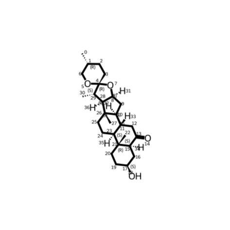 C[C@@H]1CC[C@@]2(OC1)O[C@H]1C[C@H]3[C@@H]4CC(=O)[C@H]5C[C@@H](O)CC[C@]5(C)[C@H]4CC[C@]3(C)[C@H]1[C@@H]2C